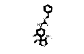 CCC1(c2ccc(NC(=O)OCc3ccccc3)cc2F)CSCC1N